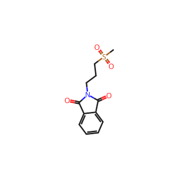 CS(=O)(=O)CCCN1C(=O)c2ccccc2C1=O